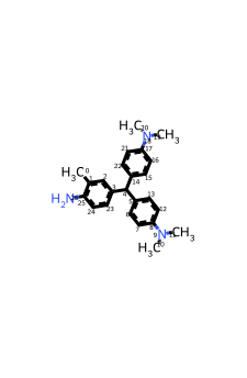 Cc1cc(C(c2ccc(N(C)C)cc2)c2ccc(N(C)C)cc2)ccc1N